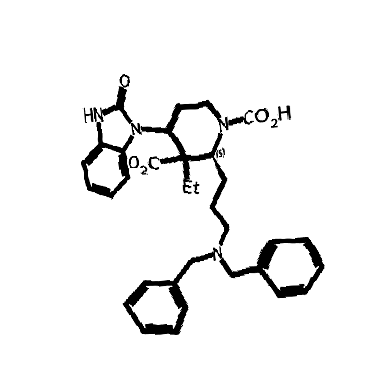 CCC1(C(=O)O)C(n2c(=O)[nH]c3ccccc32)CCN(C(=O)O)[C@H]1CCCN(Cc1ccccc1)Cc1ccccc1